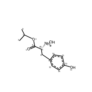 CC(C)OC(=O)[C@H](N)Cc1ccc(O)cc1.Cl